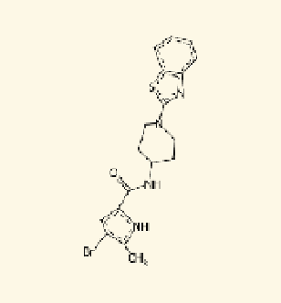 Cc1[nH]c(C(=O)NC2CCN(c3nc4ccccc4s3)CC2)cc1Br